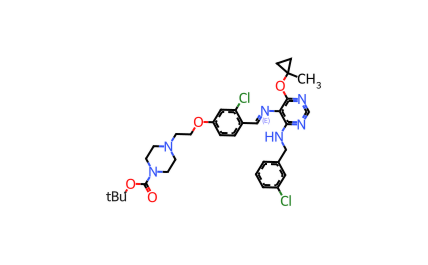 CC(C)(C)OC(=O)N1CCN(CCOc2ccc(/C=N/c3c(NCc4cccc(Cl)c4)ncnc3OC3(C)CC3)c(Cl)c2)CC1